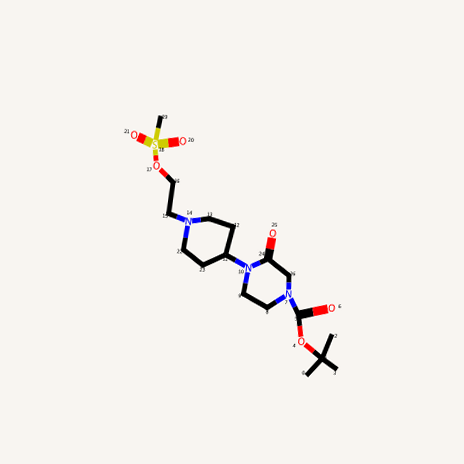 CC(C)(C)OC(=O)N1CCN(C2CCN(CCOS(C)(=O)=O)CC2)C(=O)C1